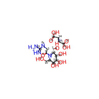 CN(CC(=O)N1[C@H](CO)[C@H](O)[C@@H](O)[C@H](O)[C@H]1CO)C(=N)N.O=C(O)/C=C/C(=O)O